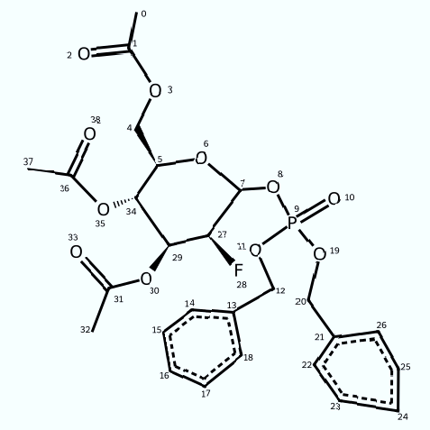 CC(=O)OC[C@H]1OC(OP(=O)(OCc2ccccc2)OCc2ccccc2)[C@@H](F)[C@@H](OC(C)=O)[C@@H]1OC(C)=O